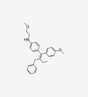 CC/C(Cc1ccccc1)=C(/c1ccc(NCCOC)cc1)c1ccc(OC)cc1